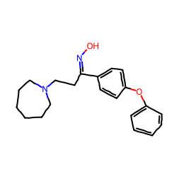 ON=C(CCN1CCCCCC1)c1ccc(Oc2ccccc2)cc1